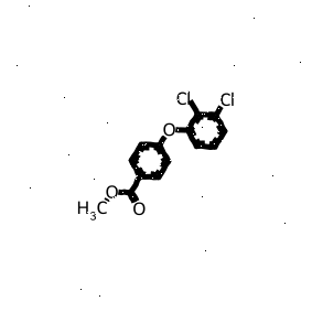 COC(=O)c1ccc(Oc2cccc(Cl)c2Cl)cc1